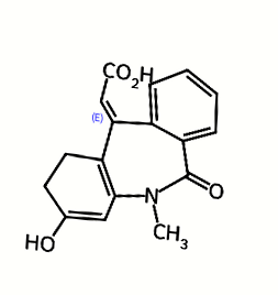 CN1C(=O)c2ccccc2/C(=C\C(=O)O)C2=C1C=C(O)CC2